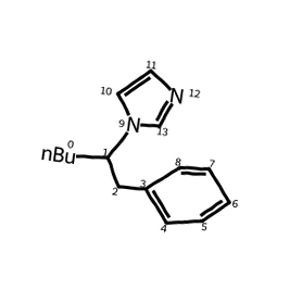 CCCCC(Cc1ccccc1)n1ccnc1